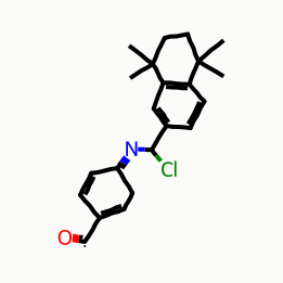 CC1(C)CCC(C)(C)c2cc(C(Cl)N=C3C=CC([C]=O)=CC3)ccc21